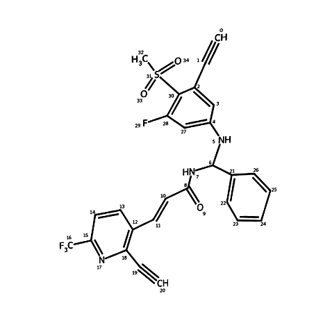 C#Cc1cc(NC(NC(=O)C=Cc2ccc(C(F)(F)F)nc2C#C)c2ccccc2)cc(F)c1S(C)(=O)=O